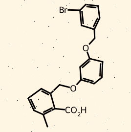 Cc1cccc(COc2cccc(OCc3cccc(Br)c3)c2)c1C(=O)O